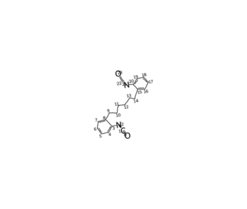 O=C=Nc1ccccc1CCCCCCc1ccccc1N=C=O